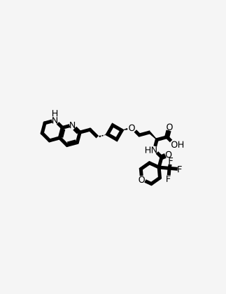 O=C(O)[C@H](CCO[C@H]1C[C@@H](CCc2ccc3c(n2)NCCC3)C1)NC(=O)C1(C(F)(F)F)CCOCC1